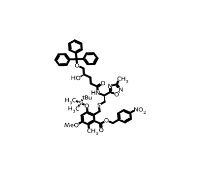 COc1cc(O[Si](C)(C)C(C)(C)C)c(CSC[C@@H](NC(=O)CC[C@@H](O)COC(c2ccccc2)(c2ccccc2)c2ccccc2)c2nc(C)no2)c(C(=O)OCc2ccc([N+](=O)[O-])cc2)c1C